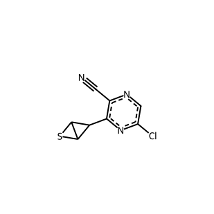 N#Cc1ncc(Cl)nc1C1C2SC21